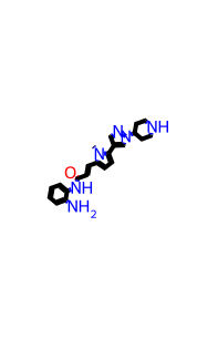 Cn1c(C=CC(=O)Nc2ccccc2N)ccc1-c1cnn(C2CCNCC2)c1